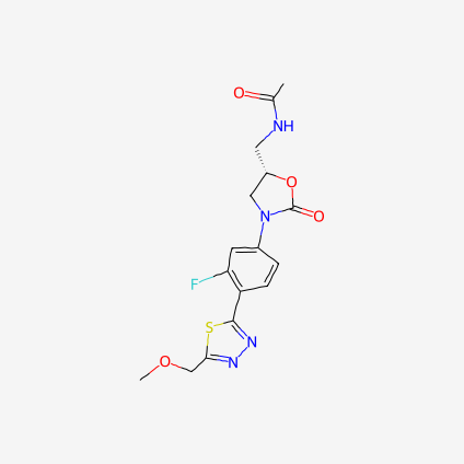 COCc1nnc(-c2ccc(N3C[C@H](CNC(C)=O)OC3=O)cc2F)s1